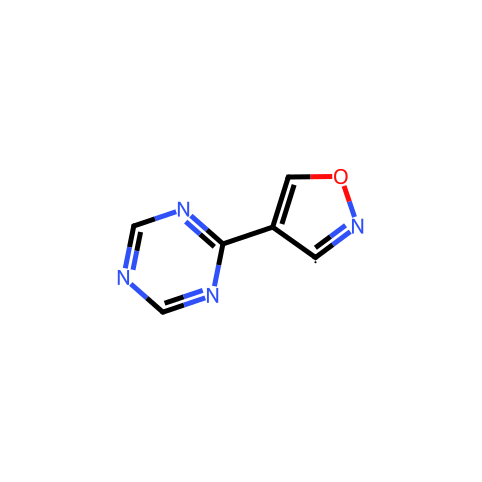 [c]1nocc1-c1ncncn1